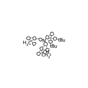 CC(C)(C)c1ccc(C2(c3ccc(C(C)(C)C)cc3)c3ccccc3-c3ccc(N(c4ccc(-c5ccc6c(c5)C(C)(c5ccccc5)c5ccccc5-6)cc4)c4ccc(-c5ccccc5-c5cccc6c5C(C)(C)c5ccccc5-6)cc4)cc32)cc1